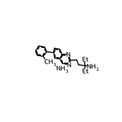 CCC(N)(CC)CCc1ncc2cc(-c3ccccc3C)ccc2n1.N